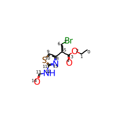 CCOC(=O)C(=CBr)c1csc(NC=O)n1